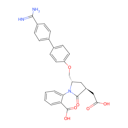 N=C(N)c1ccc(-c2ccc(OC[C@@H]3C[C@@H](CC(=O)O)C(=O)N3c3ccccc3C(=O)O)cc2)cc1